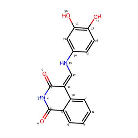 O=C1NC(=O)c2ccccc2/C1=C/Nc1ccc(O)c(O)c1